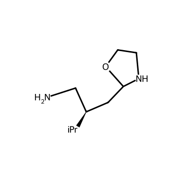 CC(C)[C@@H](CN)CC1NCCO1